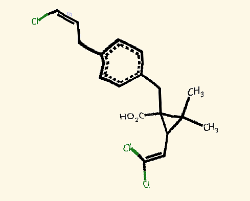 CC1(C)C(C=C(Cl)Cl)C1(Cc1ccc(C/C=C\Cl)cc1)C(=O)O